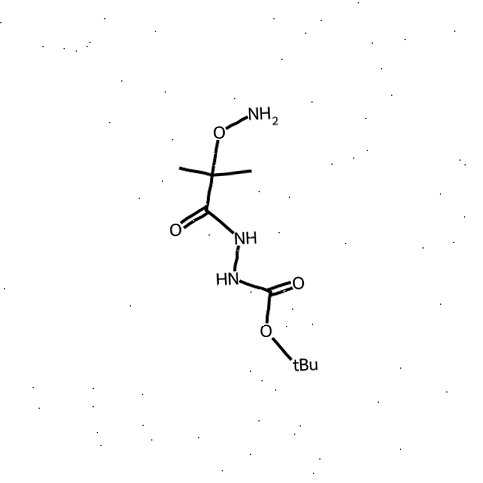 CC(C)(C)OC(=O)NNC(=O)C(C)(C)ON